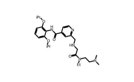 CCN(CCN(C)C)C(=O)CNCc1cc(C(=O)Nc2c(OC(C)C)cccc2OC(C)C)ccn1